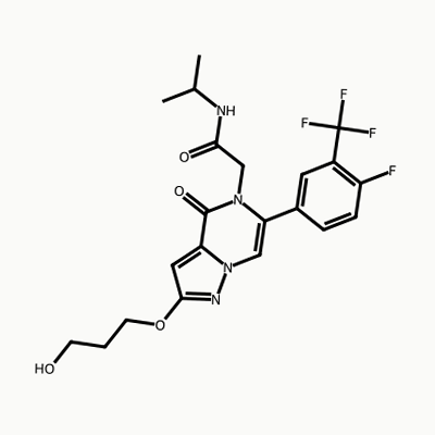 CC(C)NC(=O)Cn1c(-c2ccc(F)c(C(F)(F)F)c2)cn2nc(OCCCO)cc2c1=O